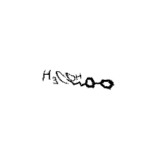 CC(O)CCCc1ccc(-c2ccccc2)cc1